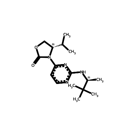 CC(C)[C@H]1COC(=O)N1c1ccnc(N[C@@H](C)C(C)(C)C)n1